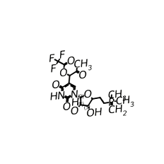 C=P(C)(C)CCC1O[C@@H](n2cc(C(OC(=O)C(F)(F)F)C(C)=O)c(=O)[nH]c2=O)[C@H](O)[C@@H]1O